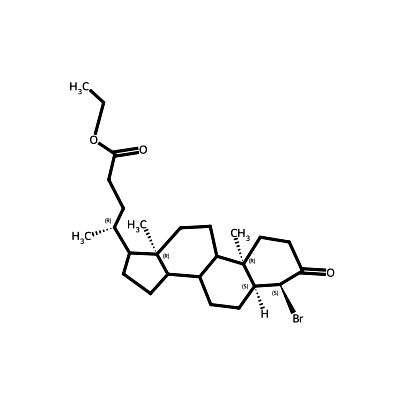 CCOC(=O)CC[C@@H](C)C1CCC2C3CC[C@@H]4[C@H](Br)C(=O)CC[C@]4(C)C3CC[C@@]21C